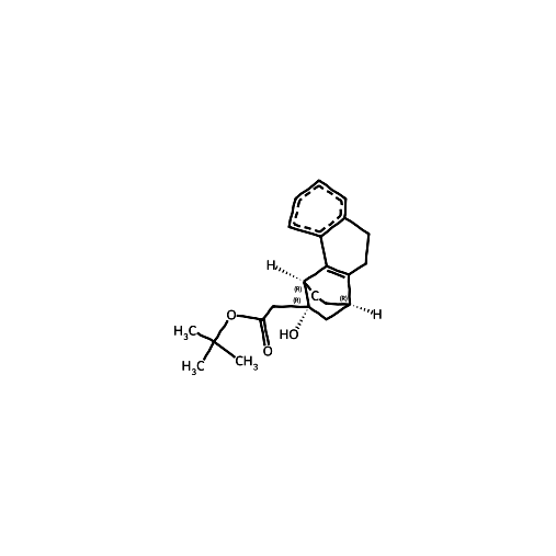 CC(C)(C)OC(=O)C[C@]1(O)C[C@H]2CC[C@@H]1C1=C2CCc2ccccc21